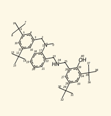 CN(Cc1cc(C(C)(C)C)cc(C(C)(C)C)c1)c1ccccc1CNCc1cc(C(C)(C)C)cc(C(C)(C)C)c1O